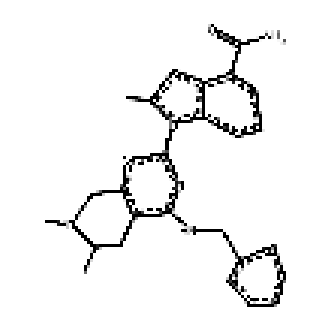 Cc1cc2c(C(N)=O)cccc2n1-c1nc2c(c(NCc3ccccc3)n1)CC(C)N(C)C2